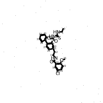 CCNC(=S)NS(=O)(=O)c1cc(CCNC(=O)c2cc(Cl)ccc2OC)ccc1-c1ccccc1